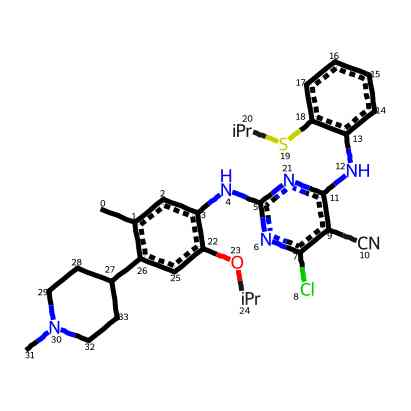 Cc1cc(Nc2nc(Cl)c(C#N)c(Nc3ccccc3SC(C)C)n2)c(OC(C)C)cc1C1CCN(C)CC1